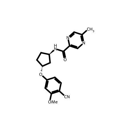 COc1cc(O[C@@H]2CC[C@@H](NC(=O)c3cnc(C)cn3)C2)ccc1C#N